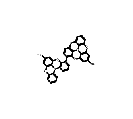 CC(C)(C)c1cc2c3c(c1)Oc1c(cccc1-c1ccc4c5c1Oc1cc(C(C)(C)C)cc6c1B5c1c(cccc1O4)O6)B3c1ccccc1O2